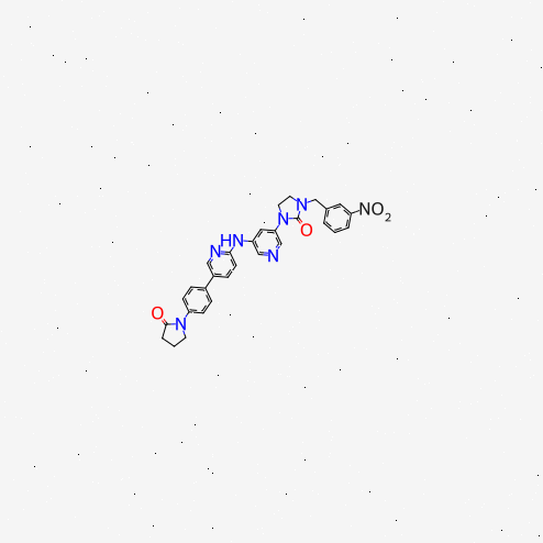 O=C1CCCN1c1ccc(-c2ccc(Nc3cncc(N4CCN(Cc5cccc([N+](=O)[O-])c5)C4=O)c3)nc2)cc1